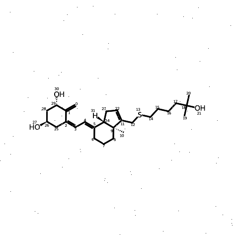 C=C1C(=CC=C2CCC[C@]3(C)C(CSCCCCC(C)(C)O)=CC[C@@H]23)C[C@@H](O)C[C@@H]1O